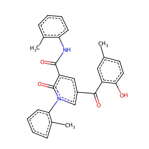 Cc1ccc(O)c(C(=O)c2cc(C(=O)Nc3ccccc3C)c(=O)n(-c3ccccc3C)c2)c1